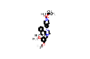 COc1cc(CN2CCN(C3CC4(CCN(C(=O)OC(C)(C)C)CC4)C3)C(c3ccccc3C(C)C)C2)cc(OC)c1